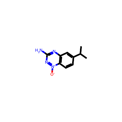 CC(C)c1ccc2c(c1)nc(N)n[n+]2[O-]